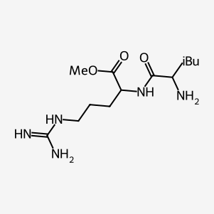 CCC(C)C(N)C(=O)NC(CCCNC(=N)N)C(=O)OC